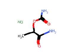 CC(OC(N)=O)C(N)=O.Cl